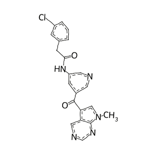 Cn1cc(C(=O)c2cncc(NC(=O)Cc3cccc(Cl)c3)c2)c2cncnc21